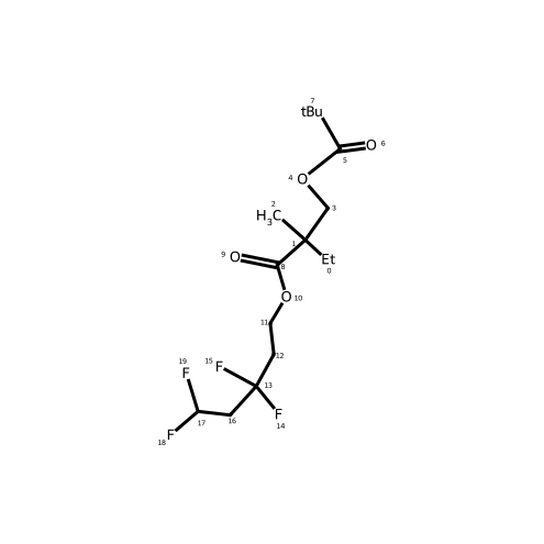 CCC(C)(COC(=O)C(C)(C)C)C(=O)OCCC(F)(F)CC(F)F